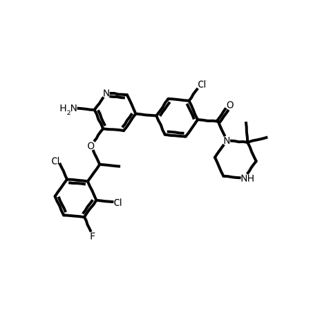 CC(Oc1cc(-c2ccc(C(=O)N3CCNCC3(C)C)c(Cl)c2)cnc1N)c1c(Cl)ccc(F)c1Cl